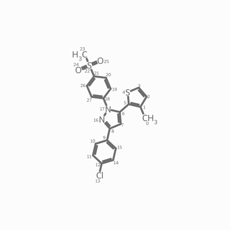 Cc1ccsc1-c1cc(-c2ccc(Cl)cc2)nn1-c1ccc(S(C)(=O)=O)cc1